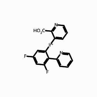 O=C(O)c1nccc[c]1[Ir+][c]1cc(F)cc(F)c1-c1ccccn1